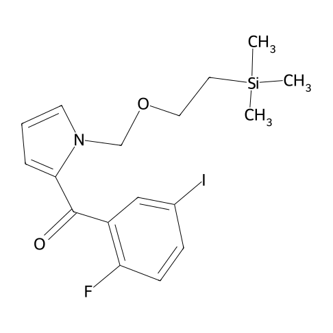 C[Si](C)(C)CCOCn1cccc1C(=O)c1cc(I)ccc1F